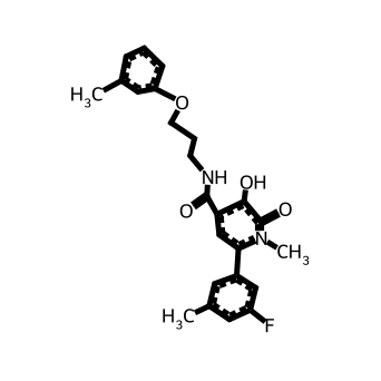 Cc1cccc(OCCCNC(=O)c2cc(-c3cc(C)cc(F)c3)n(C)c(=O)c2O)c1